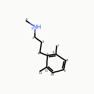 CNCC[CH]c1c(C)cccc1C